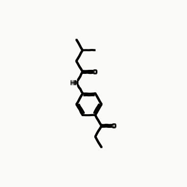 CCC(=O)c1ccc(NC(=O)CC(C)C)cc1